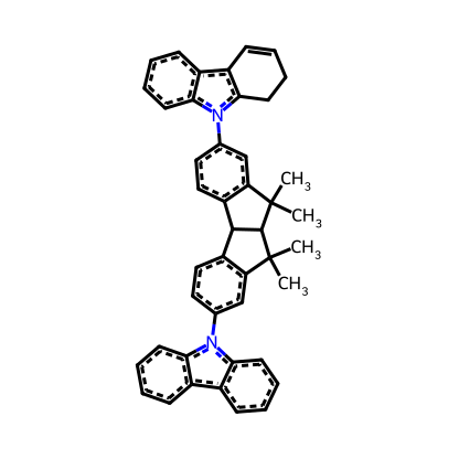 CC1(C)c2cc(-n3c4c(c5ccccc53)C=CCC4)ccc2C2c3ccc(-n4c5ccccc5c5ccccc54)cc3C(C)(C)C21